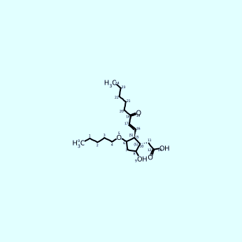 CCCCCOC1CC(O)[C@@H](CC(=O)O)[C@@H]1C=CC(=O)CCCCC